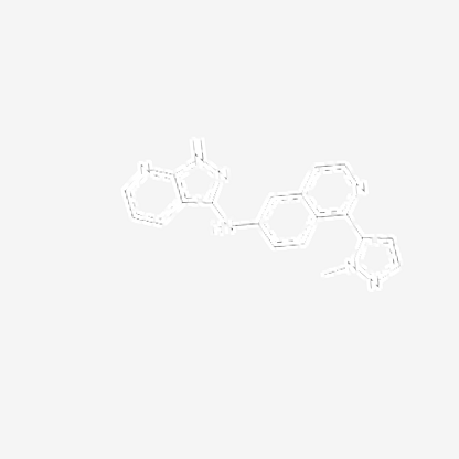 Cn1nccc1-c1nccc2cc(Nc3n[nH]c4ncccc34)ccc12